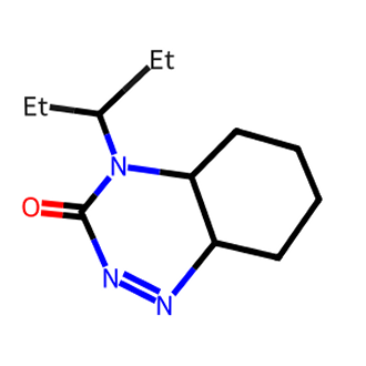 CCC(CC)N1C(=O)N=NC2CCCCC21